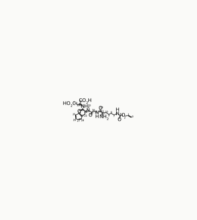 C=CCOC(=O)NCCCC[C@@H](N)C(=O)NCC(=O)N(C)[C@@H](Cc1ccccc1)C(=O)N[C@@H](CC(=O)O)C(=O)O